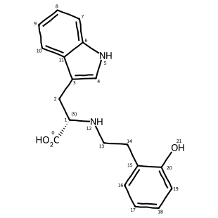 O=C(O)[C@H](Cc1c[nH]c2ccccc12)NCCc1ccccc1O